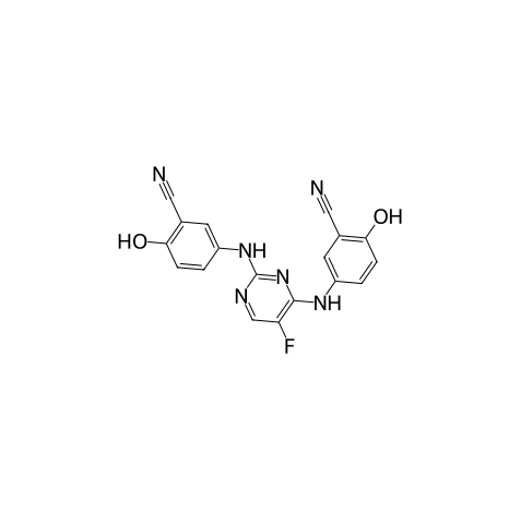 N#Cc1cc(Nc2ncc(F)c(Nc3ccc(O)c(C#N)c3)n2)ccc1O